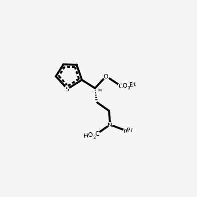 CCCN(CC[C@@H](OC(=O)OCC)c1cccs1)C(=O)O